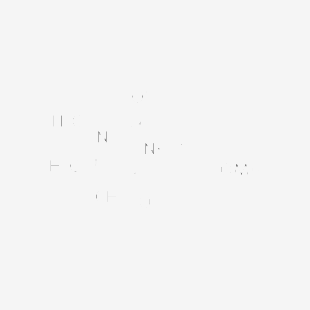 COCCN1C(=O)N(C)C(C)(C)C1=O